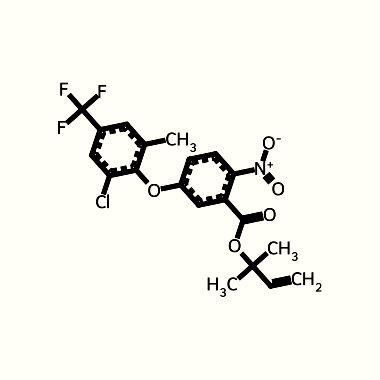 C=CC(C)(C)OC(=O)c1cc(Oc2c(C)cc(C(F)(F)F)cc2Cl)ccc1[N+](=O)[O-]